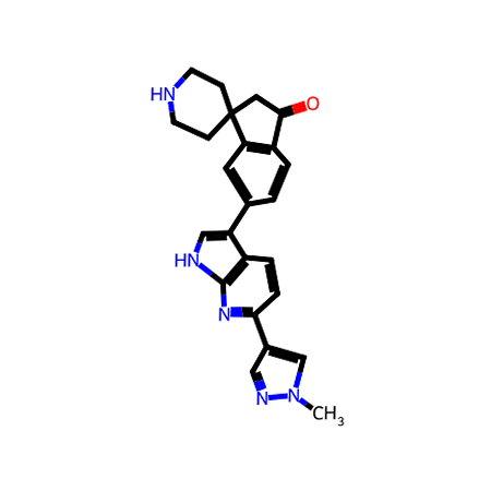 Cn1cc(-c2ccc3c(-c4ccc5c(c4)C4(CCNCC4)CC5=O)c[nH]c3n2)cn1